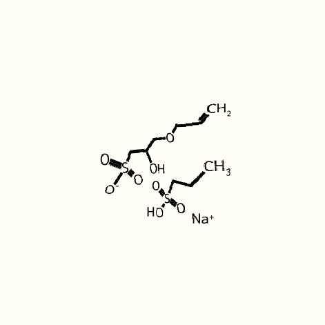 C=CCOCC(O)CS(=O)(=O)[O-].CCCS(=O)(=O)O.[Na+]